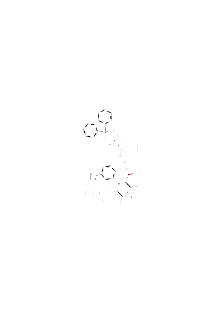 CC1=C(C(=O)O)C(c2cccc([N+](=O)[O-])c2)C(C(=O)OCCCN2CCC(c3ccccc3)(c3ccccc3)CC2)=C(C)N1.Cl